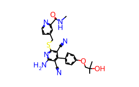 CNC(=O)c1cc(CSc2nc(N)c(C#N)c(-c3ccc(OCC(C)(C)O)cc3)c2C#N)ccn1